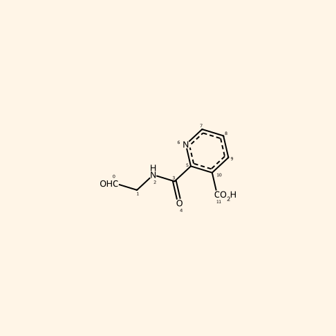 O=CCNC(=O)c1ncccc1C(=O)O